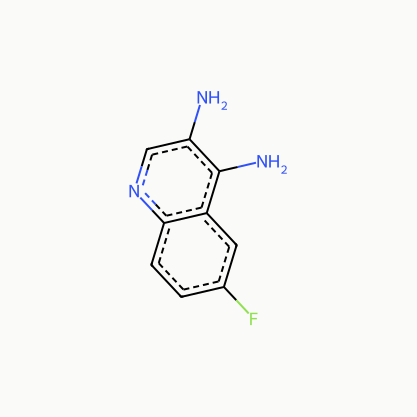 Nc1cnc2ccc(F)cc2c1N